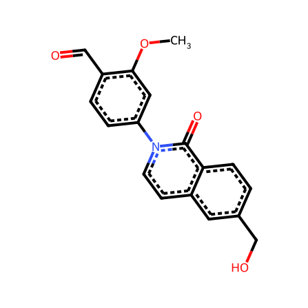 COc1cc(-n2ccc3cc(CO)ccc3c2=O)ccc1C=O